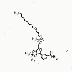 CCCCCCCCCOCCCOP(=O)(OC)OCC1OC([n+]2cccc(C(N)=O)c2)C2OC(C)(C)OC12